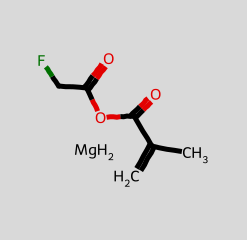 C=C(C)C(=O)OC(=O)CF.[MgH2]